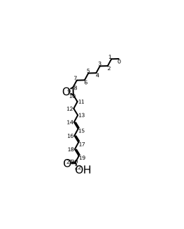 CCCCCCCCC1OC1CCCC=CC=CC=CC(=O)O